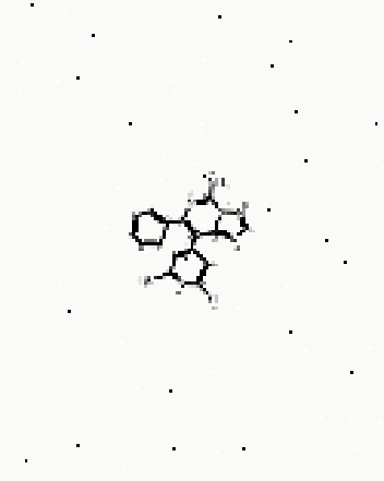 Cc1cc(-c2c(-c3ccccc3)nc(N)n3ncnc23)cc(Cl)n1